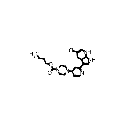 CCCCOC(=O)N1CCN(C2C=CN=C(C3=CNC4NC=C(Cl)CC34)C2)CC1